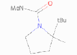 CNC(=O)N1CCCC1(C)C(C)(C)C